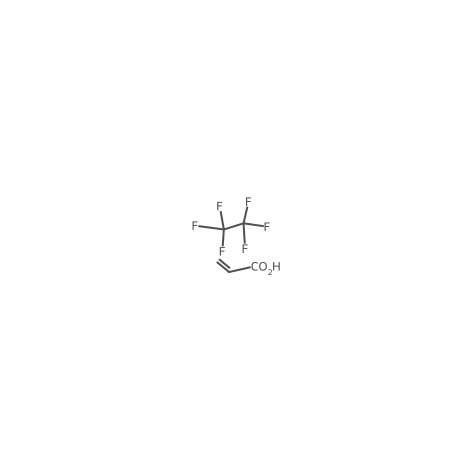 C=CC(=O)O.FC(F)(F)C(F)(F)F